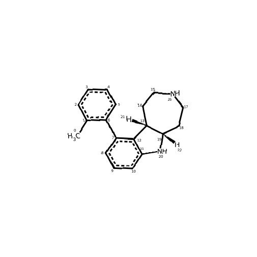 Cc1ccccc1-c1cccc2c1[C@@H]1CCNCC[C@@H]1N2